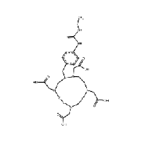 CCNC(=S)Nc1ccc(CC2CN(CC(=O)O)CCN(CC(=O)O)CCN(CC(=O)O)CCN2CC(=O)O)cc1